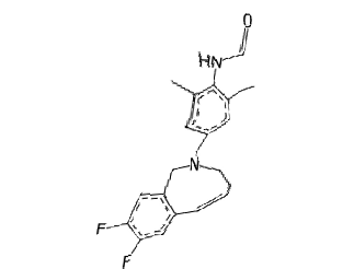 Cc1cc(N2CC=Cc3cc(F)c(F)cc3C2)cc(C)c1NC=O